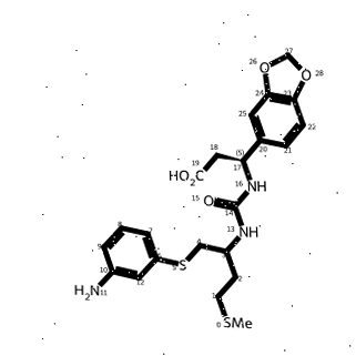 CSCCC(CSc1cccc(N)c1)NC(=O)N[C@@H](CC(=O)O)c1ccc2c(c1)OCO2